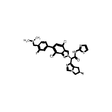 CN(C)Cc1ccc(-c2cc(Cl)c3cn([C@@H](C(=O)Nc4nccs4)c4ncn5c4C[C@@H](F)C5)nc3c2Cl)cc1F